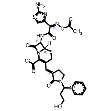 CC(=O)O/N=C(\C(=O)N[C@@H]1C(=O)N2C(C(=O)[O-])=C(/C=C3\CCN(C(CCO)[n+]4ccccc4)C3=O)CS[C@H]12)c1csc(N)n1